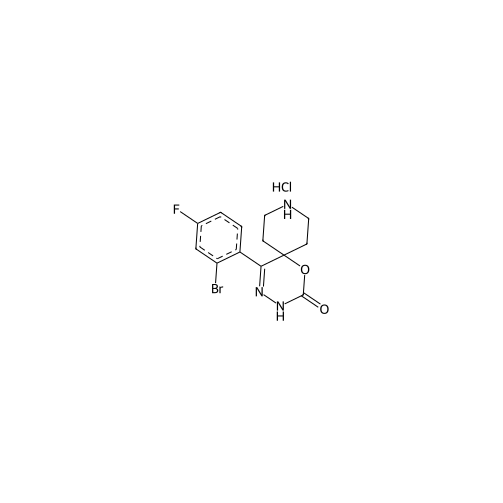 Cl.O=C1NN=C(c2ccc(F)cc2Br)C2(CCNCC2)O1